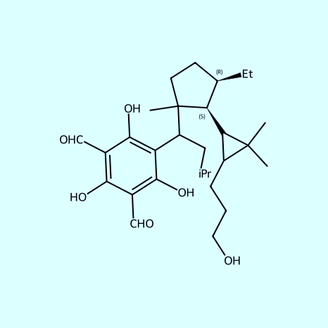 CC[C@@H]1CCC(C)(C(CC(C)C)c2c(O)c(C=O)c(O)c(C=O)c2O)[C@@H]1C1C(CCCO)C1(C)C